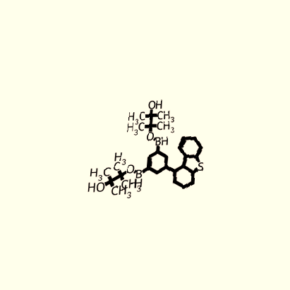 CC(C)(O)C(C)(C)OBC1=CC(BOC(C)(C)C(C)(C)O)CC(C2CCCC3SC4CCC=CC4C32)C1